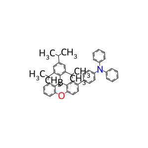 CC(C)c1cc(C(C)C)c(B2c3ccccc3Oc3ccc(-c4ccc(N(c5ccccc5)c5ccccc5)cc4)cc32)c(C(C)C)c1